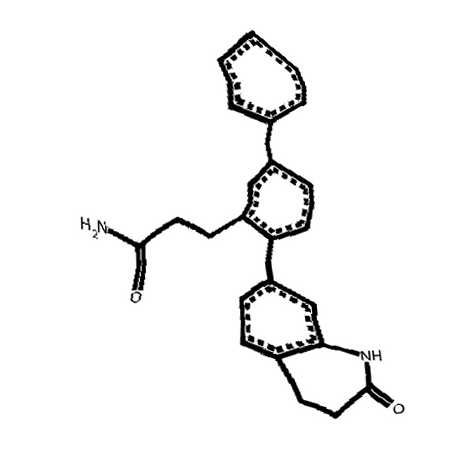 NC(=O)CCc1cc(-c2ccccc2)ccc1-c1ccc2c(c1)NC(=O)CC2